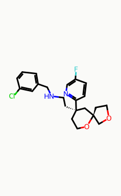 Fc1ccc([C@]2(CCNCc3cccc(Cl)c3)CCO[C@]3(CCOC3)C2)nc1